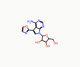 Nc1ncnc2c1c(-c1ncco1)cn2C1OC(CO)C(O)C1O